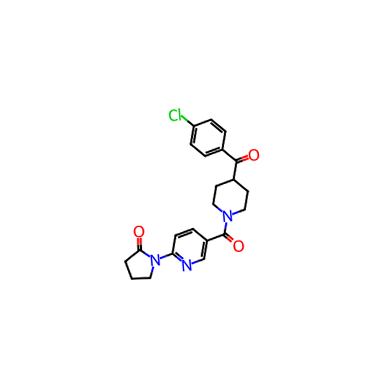 O=C(c1ccc(Cl)cc1)C1CCN(C(=O)c2ccc(N3CCCC3=O)nc2)CC1